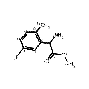 COC(=O)C(N)c1cc(F)ccc1C